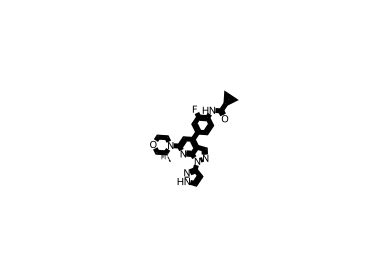 C[C@@H]1COCCN1c1cc(-c2ccc(NC(=O)C3CC3)c(F)c2)c2cnn(-c3cc[nH]n3)c2n1